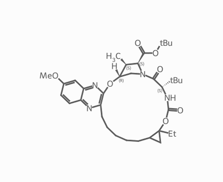 CCC12CC1CCCCCc1nc3ccc(OC)cc3nc1O[C@H]1CN(C(=O)[C@H](C(C)(C)C)NC(=O)O2)[C@H](C(=O)OC(C)(C)C)[C@@H]1C